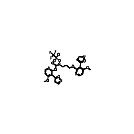 COc1ccnc(OCCCN(OS(=O)(=O)C(F)(F)F)C(=O)Oc2nccc(OC)c2-c2ccno2)c1-c1ccno1